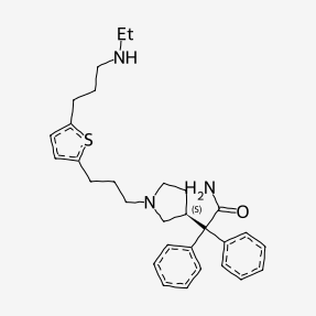 CCNCCCc1ccc(CCCN2CC[C@@H](C(C(N)=O)(c3ccccc3)c3ccccc3)C2)s1